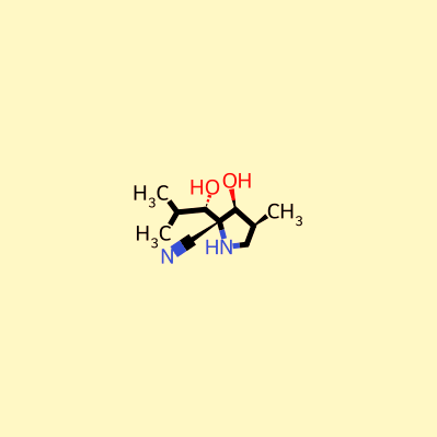 CC(C)[C@H](O)[C@@]1(C#N)NC[C@H](C)[C@@H]1O